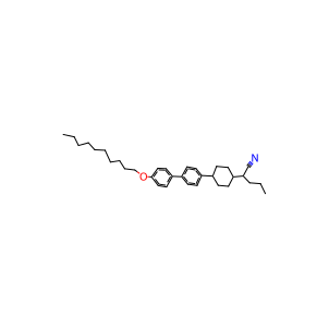 CCCCCCCCCCOc1ccc(-c2ccc(C3CCC(C(C#N)CCC)CC3)cc2)cc1